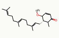 CCCOC1C=CC(=O)C(C)[C@@H]1C/C=C(\C)CC/C=C(\C)CCC=C(C)C